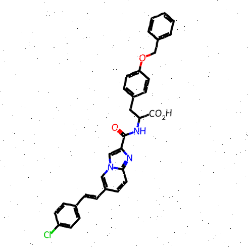 O=C(NC(Cc1ccc(OCc2ccccc2)cc1)C(=O)O)c1cn2cc(C=Cc3ccc(Cl)cc3)ccc2n1